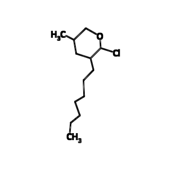 CCCCCCCC1CC(C)COC1Cl